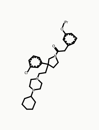 CC(C)Oc1cccc(CC(=O)N2CCC(CCN3CCN(C4CCCCC4)CC3)(c3cccc(Cl)c3)C2)c1